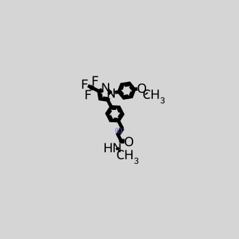 CNC(=O)/C=C/c1ccc(-c2cc(C(F)(F)F)nn2-c2ccc(OC)cc2)cc1